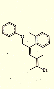 CC/C(C)=C(C)/C=C(/COc1ccccc1)c1ccccc1C